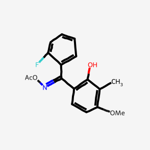 COc1ccc(C(=NOC(C)=O)c2ccccc2F)c(O)c1C